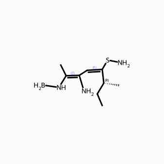 BN/C(C)=C(N)/C=C(/SN)[C@H](C)CC